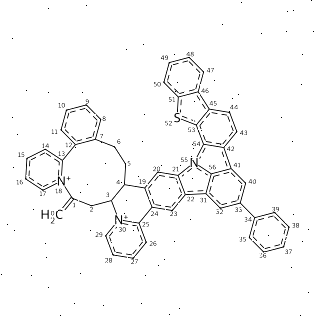 C=C1CC2C(CCc3ccccc3-c3cccc[n+]31)c1cc3c(cc1-c1cccc[n+]12)c1cc(-c2ccccc2)cc2c4ccc5c6ccccc6sc5c4n3c12